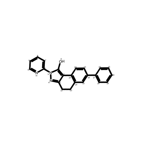 Oc1c2c(nn1-c1ccccn1)CCc1cc(-c3ccccc3)ccc1-2